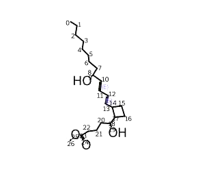 CCCCCCCCC(O)/C=C/C=C/C1CCC1C(O)CCCC(=O)OC